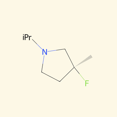 CC(C)N1CC[C@](C)(F)C1